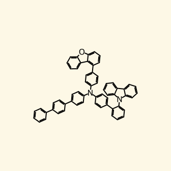 c1ccc(-c2ccc(-c3ccc(N(c4ccc(-c5ccccc5-n5c6ccccc6c6ccccc65)cc4)c4ccc(-c5cccc6oc7ccccc7c56)cc4)cc3)cc2)cc1